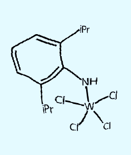 CC(C)c1cccc(C(C)C)c1[NH][W]([Cl])([Cl])([Cl])[Cl]